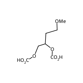 COCCC(COC(=O)O)OC(=O)O